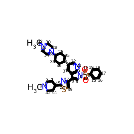 CN1CCC(c2nc(-c3cn(S(=O)(=O)c4ccccc4)c4ncc([C@H]5CC[C@H](N6CCN(C)CC6)CC5)cc34)cs2)CC1